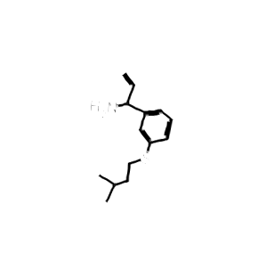 C=CC(N)c1cccc(SCCC(C)C)c1